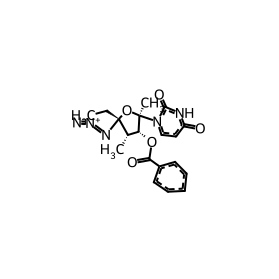 CC[C@@]1(N=[N+]=[N-])O[C@@](C)(n2ccc(=O)[nH]c2=O)[C@H](OC(=O)c2ccccc2)[C@@H]1C